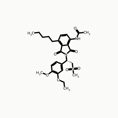 CCCCCc1ccc(NC(C)=O)c2c1C(=O)N([C@H](CS(C)(=O)=O)c1ccc(OC)c(OCC)c1)C2=O